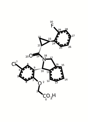 O=C(O)COc1ccc(Cl)cc1[C@H]1c2ccccc2CN1C(=O)[C@@H]1C[C@H]1c1ccccc1F